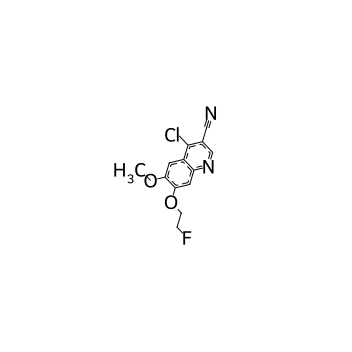 COc1cc2c(Cl)c(C#N)cnc2cc1OCCF